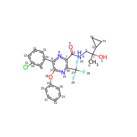 CC(O)(CNC(=O)c1nc(-c2cccc(Cl)c2)c(Oc2ccccc2)nc1C(F)(F)F)C1CC1